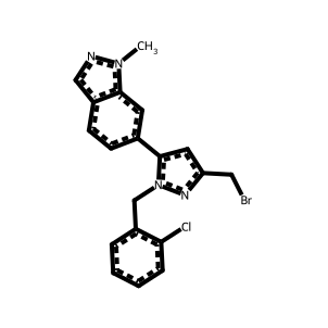 Cn1ncc2ccc(-c3cc(CBr)nn3Cc3ccccc3Cl)cc21